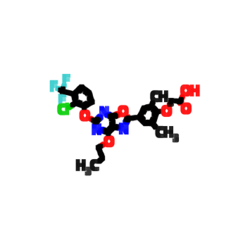 CCCOc1nc(Oc2cccc(C(F)(F)F)c2Cl)nc2oc(-c3cc(C)c(OCC(=O)O)c(C)c3)nc12